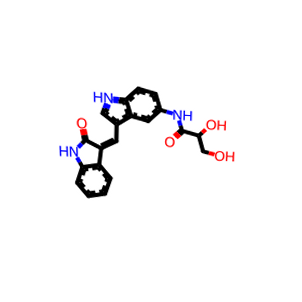 O=C1Nc2ccccc2C1=Cc1c[nH]c2ccc(NC(=O)C(O)CO)cc12